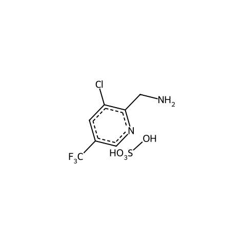 NCc1ncc(C(F)(F)F)cc1Cl.O=S(=O)(O)O